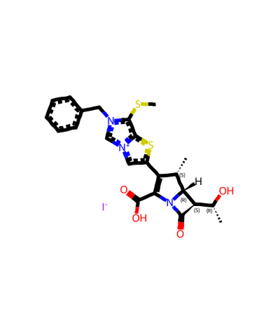 CSc1c2sc(C3=C(C(=O)O)N4C(=O)[C@H]([C@@H](C)O)[C@H]4[C@H]3C)c[n+]2cn1Cc1ccccc1.[I-]